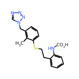 Cc1c(Cn2cnnn2)cccc1SCCc1ccccc1NC(=O)O